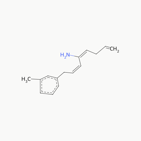 C=CC/C=C(N)\C=C/Cc1cccc(C)c1